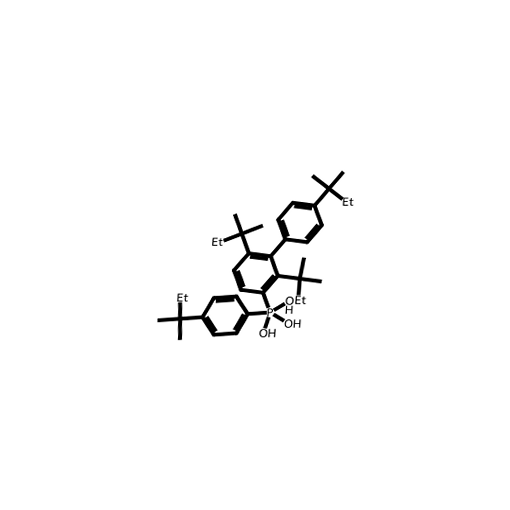 CCC(C)(C)c1ccc(-c2c(C(C)(C)CC)ccc(P(O)(O)(O)c3ccc(C(C)(C)CC)cc3)c2C(C)(C)CC)cc1